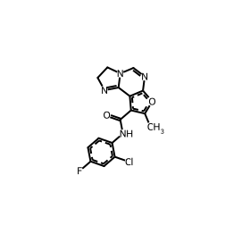 Cc1oc2c(c1C(=O)Nc1ccc(F)cc1Cl)C1=NCCN1C=N2